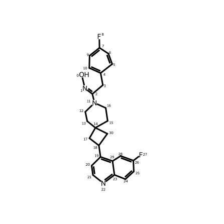 O/N=C(\Cc1ccc(F)cc1)N1CCC2(CC1)CC(c1ccnc3ccc(F)cc13)C2